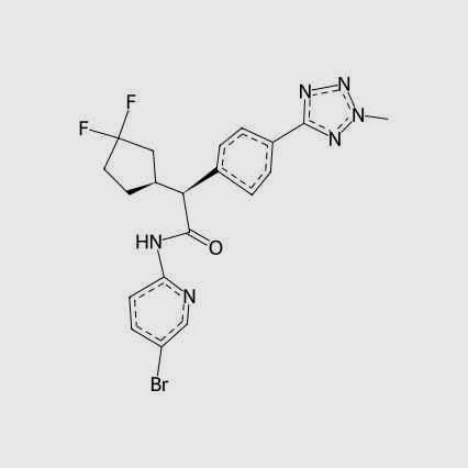 Cn1nnc(-c2ccc([C@@H](C(=O)Nc3ccc(Br)cn3)[C@H]3CCC(F)(F)C3)cc2)n1